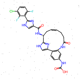 O=C(O)Nc1ccc2c(c1)NC(=O)CCC=CC[C@H](NC(=O)c1c[nH]c(-c3c(F)ccc(Cl)c3F)n1)c1nc-2c[nH]1